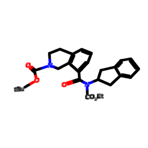 CCOC(=O)N(C(=O)c1cccc2c1CN(C(=O)OC(C)(C)C)CC2)C1Cc2ccccc2C1